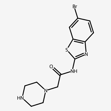 O=C(CN1CCNCC1)Nc1nc2ccc(Br)cc2s1